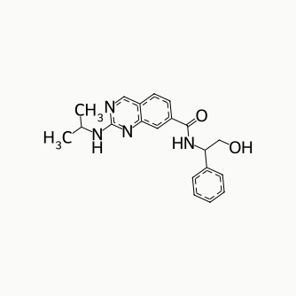 CC(C)Nc1ncc2ccc(C(=O)NC(CO)c3ccccc3)cc2n1